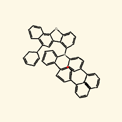 C1=CCC(c2cc3c(oc4cccc(N(c5ccc(-c6ccccc6)cc5)c5ccccc5-c5ccc(-c6ccccc6)cc5)c43)c3ccccc23)C=C1